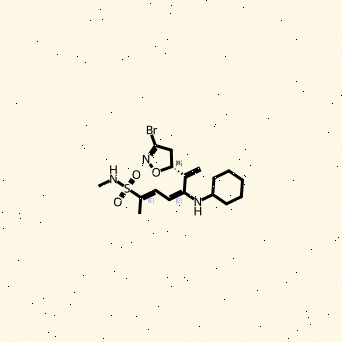 C=C(/C(=C\C=C(/C)S(=O)(=O)NC)NC1CCCCC1)[C@H]1CC(Br)=NO1